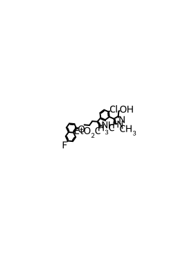 CCOC(=O)c1[nH]c2c(-c3c(CO)nn(C)c3C)c(Cl)ccc2c1CCCOc1cccc2cc(F)ccc12